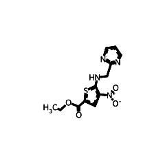 CCOC(=O)c1cc([N+](=O)[O-])c(NCc2ncccn2)s1